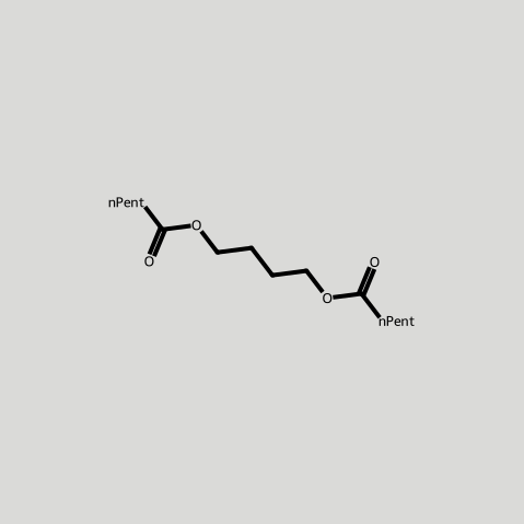 CCCCCC(=O)OCCCCOC(=O)CCCCC